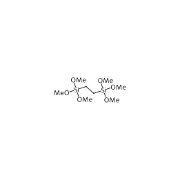 CO[Si]([CH]C[Si](OC)(OC)OC)(OC)OC